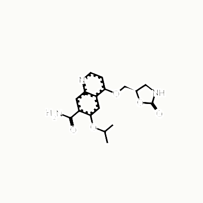 CC(C)Oc1cc2c(OC[C@H]3CNC(=O)O3)ccnc2cc1C(N)=O